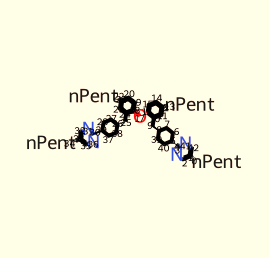 CCCCCc1cnc([C@H]2CC[C@H](Cc3cc(CCCCC)ccc3Oc3ccc(CCCCC)cc3C[C@H]3CC[C@H](c4ncc(CCCCC)cn4)CC3)CC2)nc1